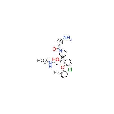 CCc1ccccc1Oc1c(Cl)cccc1C(O)(CCCNC(=O)O)[C@@H]1CCCN(C(=O)[C@@H]2CC[C@H](N)C2)C1